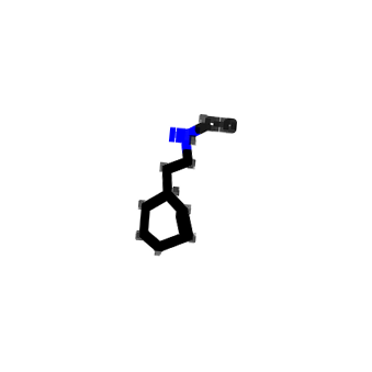 O=CNCCC1C=CCCC1